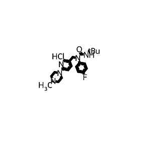 CN1CCN(c2ccc(CN(C(=O)NC(C)(C)C)c3ccc(F)cc3)cn2)CC1.Cl